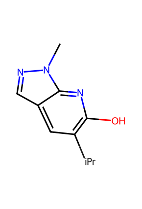 CC(C)c1cc2cnn(C)c2nc1O